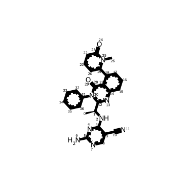 C[C@H](Nc1nc(N)ncc1C#N)c1nc2cccc(-c3cccc(=O)n3C)c2c(=O)n1-c1ccccc1